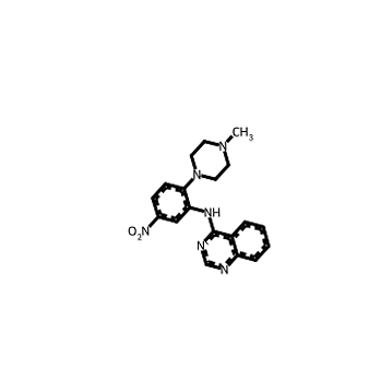 CN1CCN(c2ccc([N+](=O)[O-])cc2Nc2ncnc3ccccc23)CC1